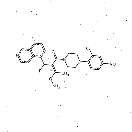 C/C(ON)=C(\C(=O)N1CCN(c2ccc(N=O)cc2Cl)CC1)C(I)c1cccc2cnccc12